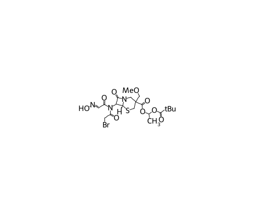 COCC1(C(=O)OC(C)OC(=O)C(C)(C)C)CS[C@@H]2C(N(C(=O)C=NO)C(=O)CBr)C(=O)N2C1